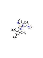 Cc1cc(C)c(-c2csc(N(CCN3CCCC3)C(C)c3cccnc3)n2)c(C)c1